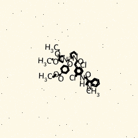 CCOC(=O)[C@H]1CC[C@H](OC([C@@H]2CCCN2C(=O)Cc2cc(Cl)c(NC(=O)c3cn(C)c4ccccc34)cc2Cl)N2C[C@H](OCC)[C@H](OCC)C2)CC1